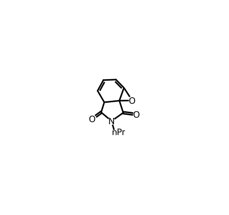 CCCN1C(=O)C2C=CC=C3OC32C1=O